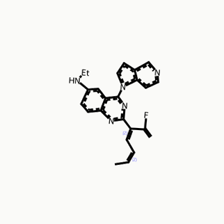 C=C(F)/C(=C\C=C/C)c1nc(-n2ccc3cnccc32)c2cc(NCC)ccc2n1